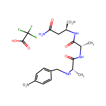 C[C@H](NCc1ccc([N+](=O)[O-])cc1)C(=O)N[C@@H](C)C(=O)N[C@@H](CC(N)=O)C(=O)O.O=C(O)C(F)(F)F